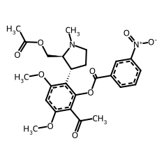 COc1cc(OC)c([C@H]2CCN(C)[C@@H]2COC(C)=O)c(OC(=O)c2cccc([N+](=O)[O-])c2)c1C(C)=O